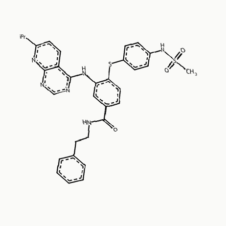 CC(C)c1ccc2c(Nc3cc(C(=O)NCCc4ccccc4)ccc3Sc3ccc(NS(C)(=O)=O)cc3)ncnc2n1